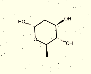 C[C@H]1O[C@H](O)C[C@@H](O)[C@@H]1O